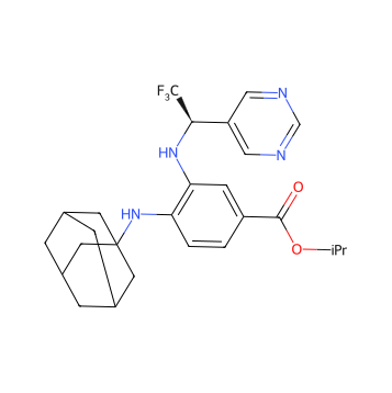 CC(C)OC(=O)c1ccc(NC23CC4CC(CC(C4)C2)C3)c(N[C@H](c2cncnc2)C(F)(F)F)c1